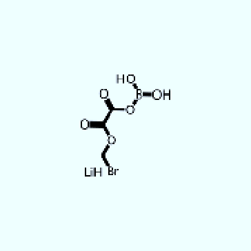 O=C(OCBr)C(=O)OB(O)O.[LiH]